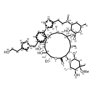 CC[C@H]1OC(=O)[C@H](C)[C@@H](O[C@H]2C[C@@](C)(OC)[C@@H](O)[C@H](C)O2)[C@H](C)[C@@H](O[C@@H]2O[C@H](C)C[C@H](N(C)CCc3cn(-c4ccc(Cn5cc(CCO)nn5)cc4)nn3)[C@H]2O)[C@](C)(O)C[C@@H](C)CN(C)[C@H](C)[C@@H](O)[C@]1(C)O